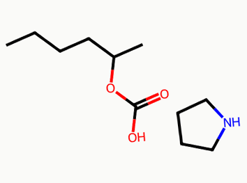 C1CCNC1.CCCCC(C)OC(=O)O